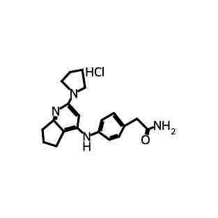 Cl.NC(=O)Cc1ccc(Nc2cc(N3CCCC3)nc3c2CCC3)cc1